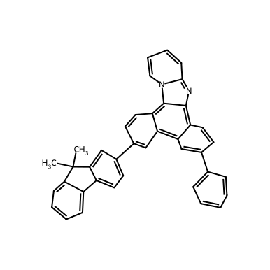 CC1(C)c2ccccc2-c2ccc(-c3ccc4c(c3)c3cc(-c5ccccc5)ccc3c3nc5ccccn5c43)cc21